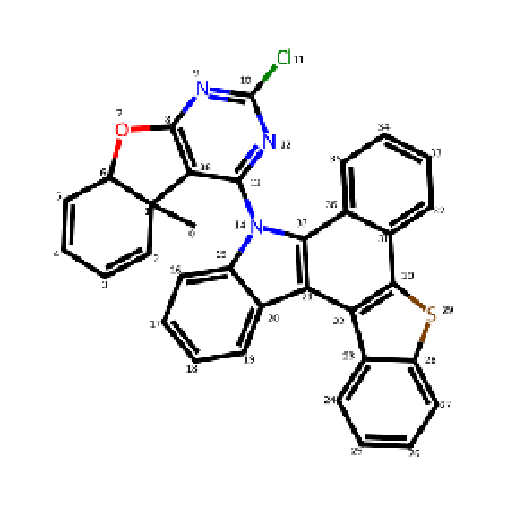 CC12C=CC=CC1Oc1nc(Cl)nc(-n3c4ccccc4c4c5c6ccccc6sc5c5ccccc5c43)c12